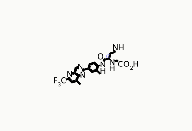 Cc1cc(-c2ncc3nc(C(F)(F)F)cc(C)c3n2)ccc1NC(=O)/C(=C/C=N)NCC(=O)O